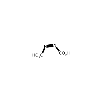 O=C(O)/N=N\C(=O)O